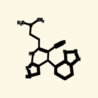 CN(C)CCC1=C(C#N)C(c2cccc3nonc23)c2c[nH]nc2N1